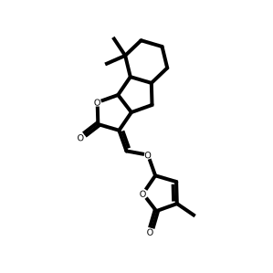 CC1=CC(O/C=C2/C(=O)OC3C2CC2CCCC(C)(C)C23)OC1=O